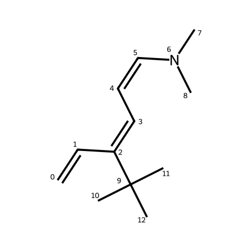 C=C/C(=C\C=C/N(C)C)C(C)(C)C